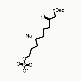 CCCCCCCCCCCC(=O)CCCCCCCOS(=O)(=O)[O-].[Na+]